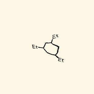 CCC1[CH]C(CC)CC(CC)C1